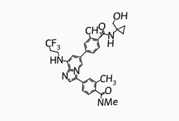 CNC(=O)c1ccc(-c2cnc3c(NCCC(F)(F)F)cc(-c4ccc(C(=O)NC5(CO)CC5)c(C)c4)cn23)cc1C